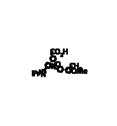 COc1ccc([C@H]2CC[C@H](CN(c3cccc(-c4cnn(C(C)C)c4)c3)C(=O)[C@H]3CC[C@H](CC(=O)O)CC3)CC2)cc1C